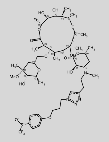 CC[C@H]1OC(=O)[C@H](C)[C@@H](OC[C@H]2C[C@@](C)(OC)[C@@H](O)[C@H](C)O2)[C@H](C)[C@@H](O[C@@H]2O[C@H](C)C[C@H](N(C)CCc3cn(CCCOc4ccc([S+]([O-])C(F)(F)F)cc4)nn3)[C@H]2O)[C@](C)(O)C[C@@H](C)CN(C)[C@H](C)[C@@H](O)[C@@H]1O